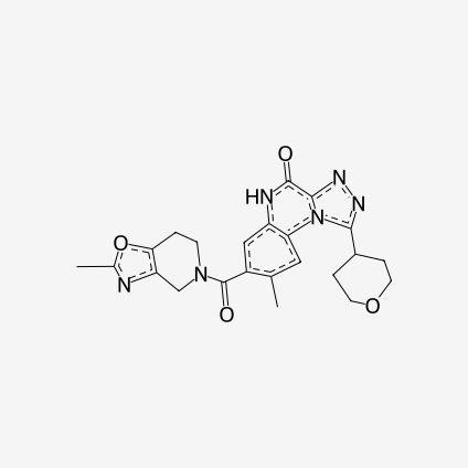 Cc1nc2c(o1)CCN(C(=O)c1cc3[nH]c(=O)c4nnc(C5CCOCC5)n4c3cc1C)C2